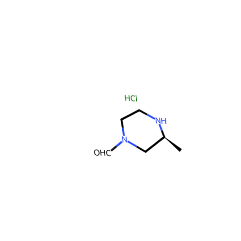 C[C@H]1CN(C=O)CCN1.Cl